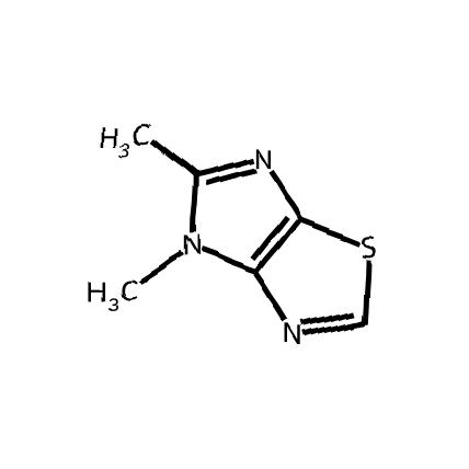 Cc1nc2scnc2n1C